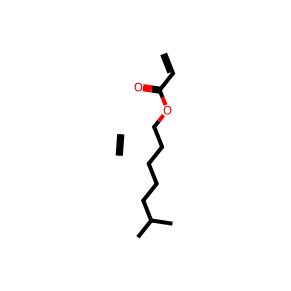 C=C.C=CC(=O)OCCCCCC(C)C